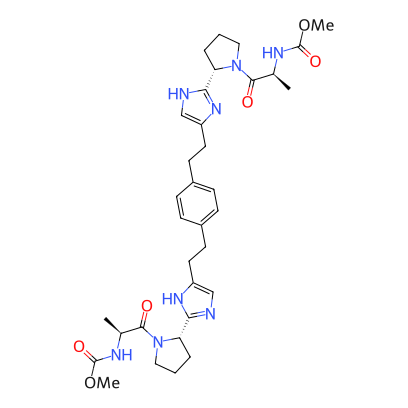 COC(=O)N[C@@H](C)C(=O)N1CCC[C@H]1c1nc(CCc2ccc(CCc3cnc([C@@H]4CCCN4C(=O)[C@H](C)NC(=O)OC)[nH]3)cc2)c[nH]1